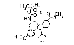 COC(=O)c1ccc2c(C3CCCCC3)c3n(c2c1)CC(NC(=O)OC(C)(C)C)Cc1cc(OC)ccc1-3